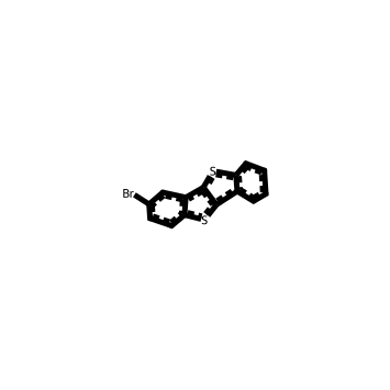 Brc1ccc2sc3c4ccccc4sc3c2c1